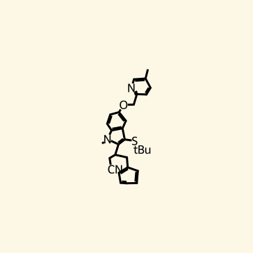 Cc1ccc(COc2ccc3c(c2)c(SC(C)(C)C)c(C(CC#N)Cc2ccccc2)n3C)nc1